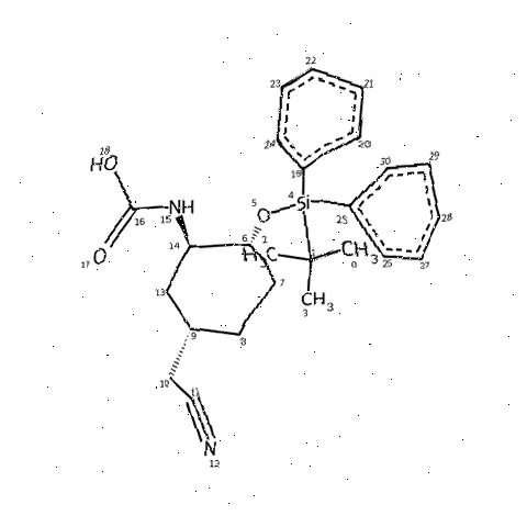 CC(C)(C)[Si](O[C@@H]1CC[C@H](CC#N)C[C@H]1NC(=O)O)(c1ccccc1)c1ccccc1